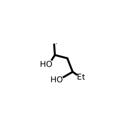 [CH2]CC(O)CC([CH2])O